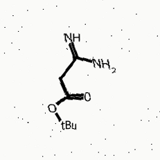 CC(C)(C)OC(=O)CC(=N)N